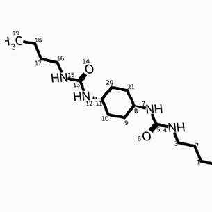 CCCCNC(=O)N[C@H]1CC[C@H](NC(=O)NCCCC)CC1